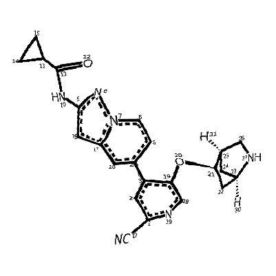 N#Cc1cc(-c2ccn3nc(NC(=O)C4CC4)cc3c2)c(O[C@@H]2C[C@H]3C[C@@H]2CN3)cn1